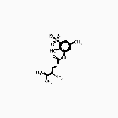 Cc1cc(NC(=O)OC[C@@H](N)C(C)C)c(O)c(S(=O)(=O)O)c1